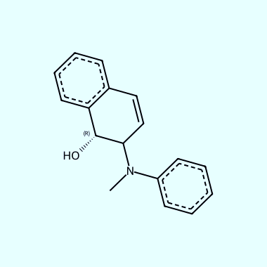 CN(c1ccccc1)C1C=Cc2ccccc2[C@H]1O